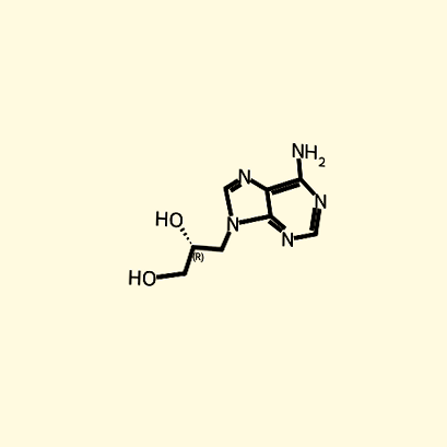 Nc1ncnc2c1ncn2C[C@@H](O)CO